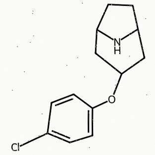 Clc1ccc(OC2CC3CCC(C2)N3)cc1